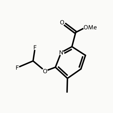 COC(=O)c1ccc(C)c(OC(F)F)n1